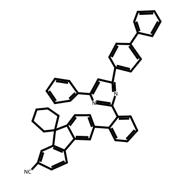 N#Cc1ccc2c(c1)C1(CCCCC1)c1ccc(-c3ccccc3-c3nc(-c4ccccc4)cc(-c4ccc(-c5ccccc5)cc4)n3)cc1-2